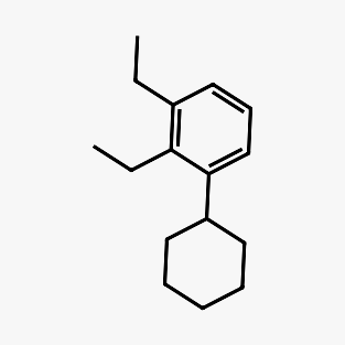 CCc1cccc(C2CCCCC2)c1CC